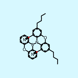 CCCCc1cc(C#N)c2c(c1)Oc1cc(CCCC)cc(C#N)c1N2B1c2ccccc2Oc2ccccc21